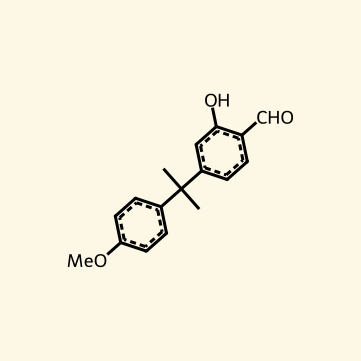 COc1ccc(C(C)(C)c2ccc(C=O)c(O)c2)cc1